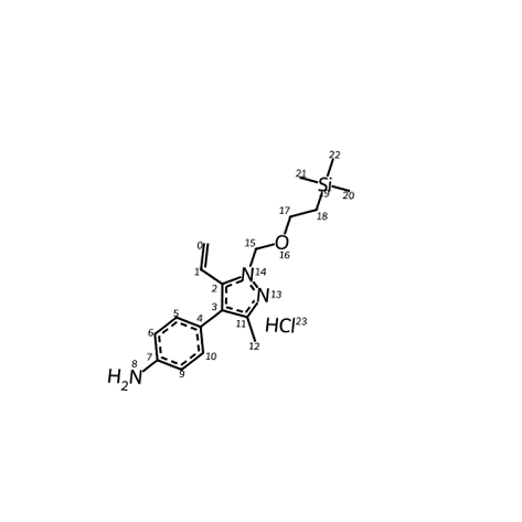 C=Cc1c(-c2ccc(N)cc2)c(C)nn1COCC[Si](C)(C)C.Cl